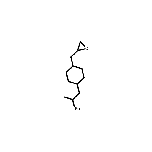 CCC(C)C(C)CC1CCC(CC2CO2)CC1